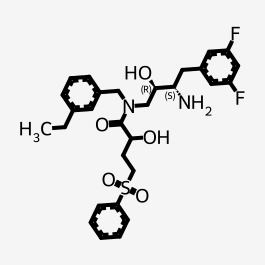 CCc1cccc(CN(C[C@@H](O)[C@@H](N)Cc2cc(F)cc(F)c2)C(=O)C(O)CCS(=O)(=O)c2ccccc2)c1